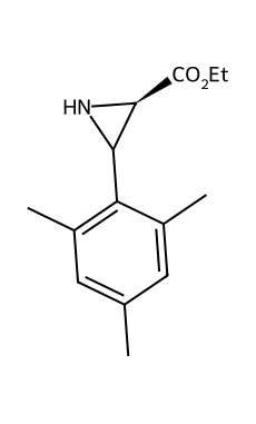 CCOC(=O)[C@@H]1NC1c1c(C)cc(C)cc1C